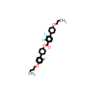 CCCCOc1ccc(C2CCC(OC(=O)c3ccc(C4CCC(OCCC)CC4)c(F)c3F)CC2)c(F)c1